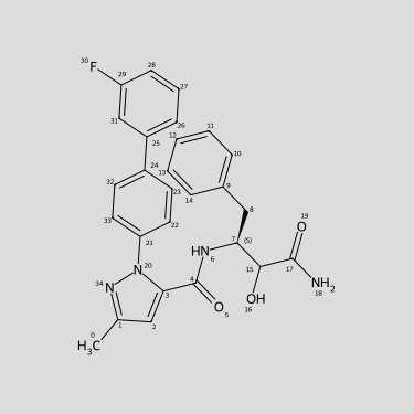 Cc1cc(C(=O)N[C@@H](Cc2ccccc2)C(O)C(N)=O)n(-c2ccc(-c3cccc(F)c3)cc2)n1